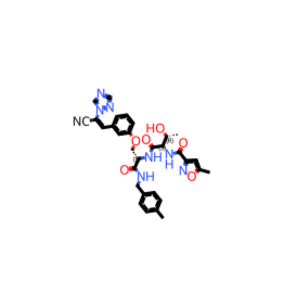 Cc1ccc(CNC(=O)[C@H](COc2cccc(C=C(C#N)n3cncn3)c2)NC(=O)[C@@H](NC(=O)c2cc(C)on2)[C@@H](C)O)cc1